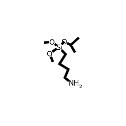 CO[Si](CCCCN)(OC)OC(C)C